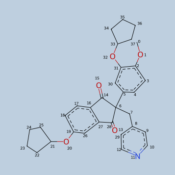 COc1ccc(C2(Cc3ccncc3)C(=O)c3ccc(OC4CCCC4)cc3C2=O)cc1OC1CCCC1